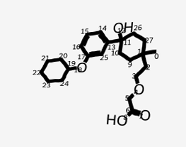 CC1(CCOCC(=O)O)CCC(O)(c2cccc(OC3CCCCC3)c2)CC1